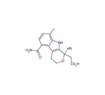 CCCC1(CC(=O)O)OCCc2c1[nH]c1c(C)ccc(C(N)=O)c21